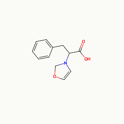 O=C(O)C(Cc1ccccc1)N1C=COC1